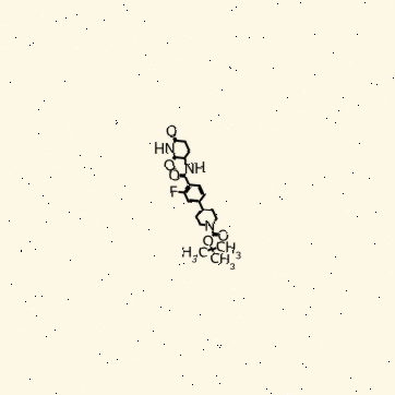 CC(C)(C)OC(=O)N1CCC(c2ccc(C(=O)NC3CCC(=O)NC3=O)c(F)c2)CC1